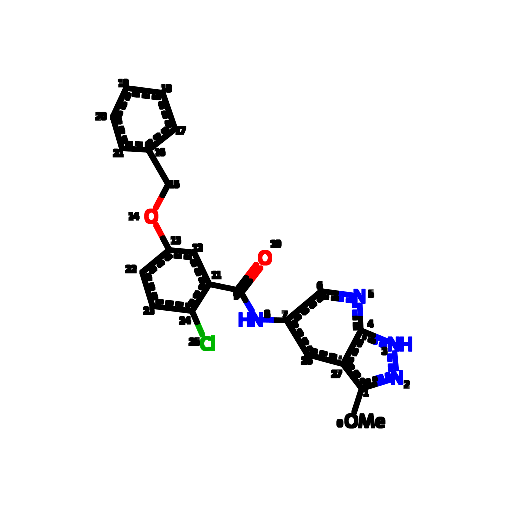 COc1n[nH]c2ncc(NC(=O)c3cc(OCc4ccccc4)ccc3Cl)cc12